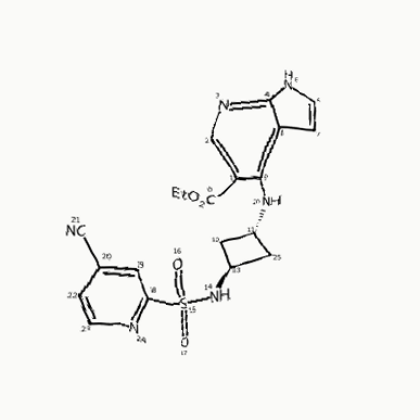 CCOC(=O)c1cnc2[nH]ccc2c1N[C@H]1C[C@H](NS(=O)(=O)c2cc(C#N)ccn2)C1